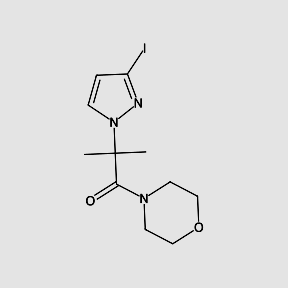 CC(C)(C(=O)N1CCOCC1)n1ccc(I)n1